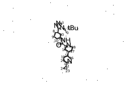 C[C@H](n1cnnc1-c1cccc(NC(=O)c2cc(-c3ccc(C4CC4)nc3)ccn2)c1)C(C)(C)C